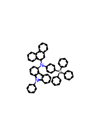 c1ccc(-n2c3ccccc3c3c(N(c4ccc([Si](c5ccccc5)(c5ccccc5)c5ccccc5)cc4)c4cc5ccccc5c5ccccc45)cccc32)cc1